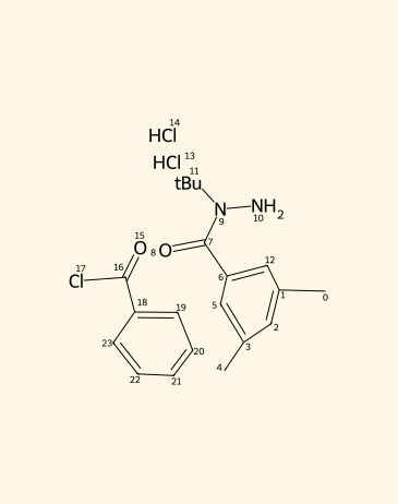 Cc1cc(C)cc(C(=O)N(N)C(C)(C)C)c1.Cl.Cl.O=C(Cl)c1ccccc1